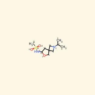 CC(C)N1CC2(COC(NS(C)(=O)=O)C2)C1